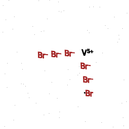 [Br-].[Br-].[Br-].[Br-].[Br-].[Br].[V+5]